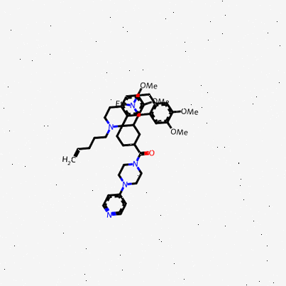 C=CCCCN1CCc2cc(OC)c(OC)cc2C12CCC(C(=O)N1CCN(c3ccncc3)CC1)CC2C1c2cc(OC)c(OC)cc2CCN1CC